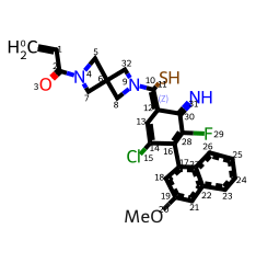 C=CC(=O)N1CC2(C1)CN(/C(S)=C1\C=C(Cl)C(c3cc(OC)cc4ccccc34)=C(F)C1=N)C2